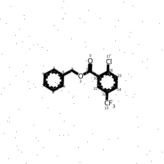 O=C(OCc1ccccc1)c1cc(C(F)(F)F)ccc1Cl